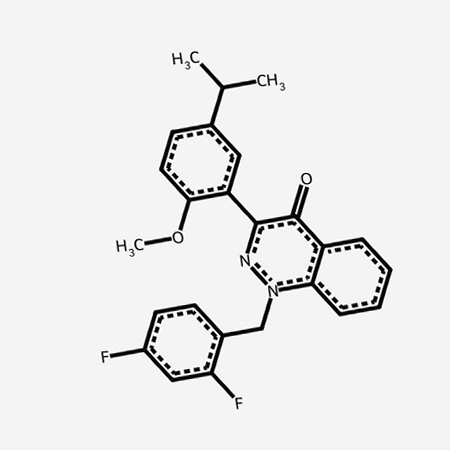 COc1ccc(C(C)C)cc1-c1nn(Cc2ccc(F)cc2F)c2ccccc2c1=O